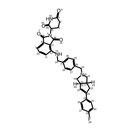 O=C1CCC(N2C(=O)c3cccc(NCc4ccc(CN5C[C@@H]6CC(c7ccc(F)cc7)=C[C@@H]6C5)cc4)c3C2=O)C(=O)N1